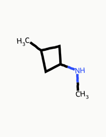 CNC1CC(C)C1